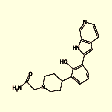 NC(=O)CN1CCC(c2cccc(-c3cc4ccncc4[nH]3)c2O)CC1